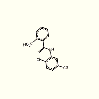 C=C(Nc1cc(C#N)ccc1Cl)c1ccccc1C(=O)O